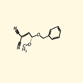 CO[C@H](C=C(C#N)C#N)OCc1ccccc1